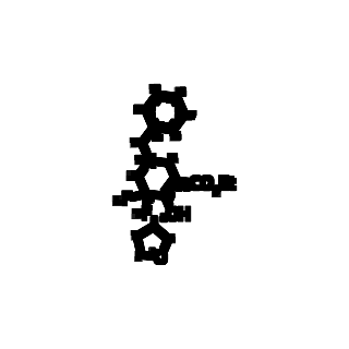 C1CCOC1.CCOC(=O)C1=C(O)C(F)(F)CN(Cc2ccccc2)C1